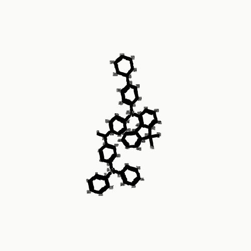 CC(c1ccc(N(c2ccccc2)c2ccccc2)cc1)c1ccc(N(c2ccc(C3CCCCC3)cc2)c2cccc3c2-c2ccccc2C3(C)C)cc1